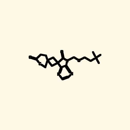 C[Si](C)(C)CCOCN1C(=O)C2(CC3(CCC(=O)CC3)C2)c2nccnc21